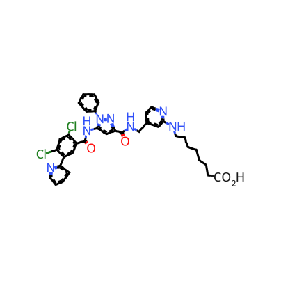 O=C(O)CCCCCCCNc1cc(CNC(=O)c2cc(NC(=O)c3cc(-c4ccccn4)c(Cl)cc3Cl)n(-c3ccccc3)n2)ccn1